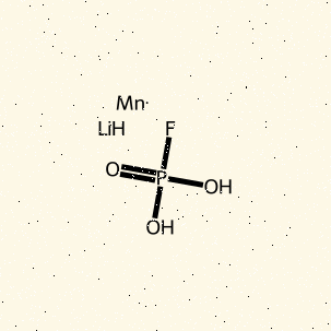 O=P(O)(O)F.[LiH].[Mn]